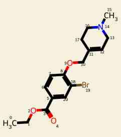 CCOC(=O)c1ccc(OCC2=CCN(C)CC2)c(Br)c1